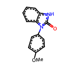 COc1ccc(-n2c(=O)[nH]c3ccccc32)cc1